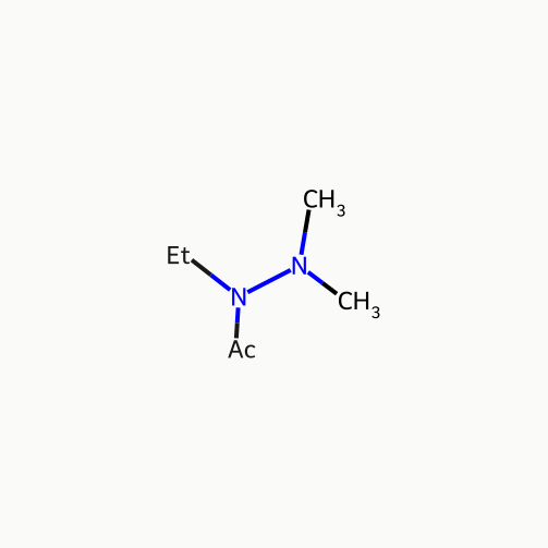 CCN(C(C)=O)N(C)C